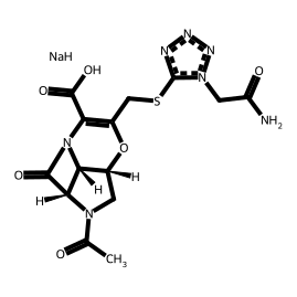 CC(=O)N1C[C@H]2OC(CSc3nnnn3CC(N)=O)=C(C(=O)O)N3C(=O)[C@@H]1[C@@H]23.[NaH]